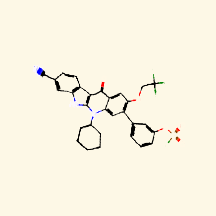 N#Cc1ccc2c(c1)[nH]c1c2c(=O)c2cc(OCC(F)(F)F)c(-c3cccc(OS(=O)(=O)F)c3)cc2n1C1CCCCC1